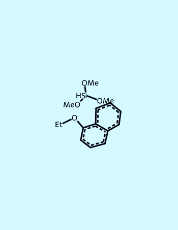 CCOc1cccc2ccccc12.CO[SiH](OC)OC